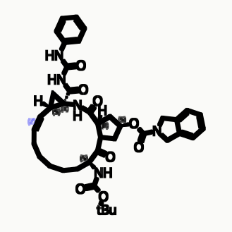 CC(C)(C)OC(=O)N[C@H]1CCCCC/C=C\[C@@H]2C[C@@]2(C(=O)NC(=O)Nc2ccccc2)NC(=O)[C@@H]2C[C@@H](OC(=O)N3Cc4ccccc4C3)CC2C1=O